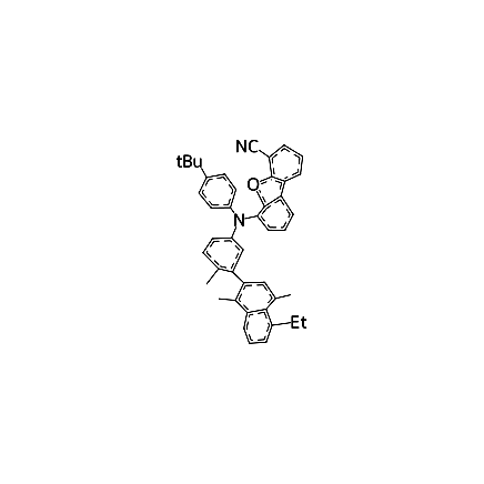 CCc1cccc2c(C)c(-c3cc(N(c4ccc(C(C)(C)C)cc4)c4cccc5c4oc4c(C#N)cccc45)ccc3C)cc(C)c12